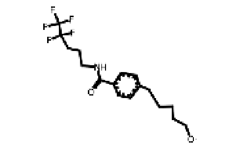 [O]CCCCCc1ccc(C(=O)NCCCC(F)(F)C(F)(F)F)cc1